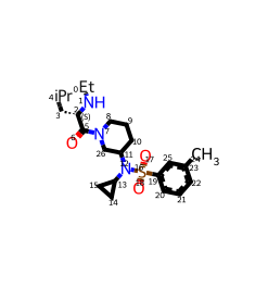 CCN[C@@H](CC(C)C)C(=O)N1CCCC(N(C2CC2)S(=O)(=O)c2cccc(C)c2)C1